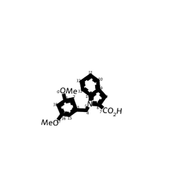 COc1cc(Cn2c(C(=O)O)cc3ccccc32)cc(OC)c1